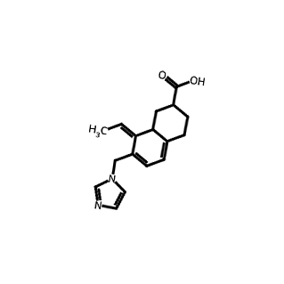 CC=C1C(Cn2ccnc2)=CC=C2CCC(C(=O)O)CC21